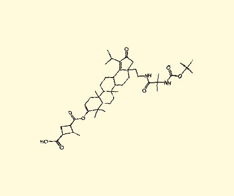 CC(C)C1=C2C3CCC4C(C)(CCC5C(C)(C)C(OC(=O)C6CC(C(=O)O)C6C)CCC54C)C3CCC2(CCNC(=O)C(C)(C)NC(=O)OC(C)(C)C)CC1=O